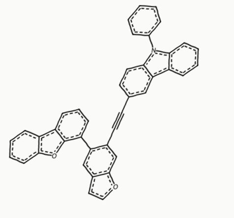 C(#Cc1cc2occc2cc1-c1cccc2c1oc1ccccc12)c1ccc2c(c1)c1ccccc1n2-c1ccccc1